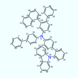 c1ccc(-c2ccc(N(c3ccc(-c4ccccc4-n4c5ccccc5c5ccccc54)cc3)c3ccc(-c4ccccc4)c(-c4cccc5ccccc45)c3)cc2)cc1